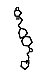 C1CCN(CCOC2CCC3(CCC(CC[C@H]4CCOC4)CC3)CC2)C1